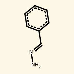 N[N+]=Cc1ccccc1